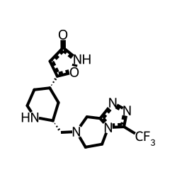 O=c1cc([C@H]2CCN[C@@H](CN3CCn4c(nnc4C(F)(F)F)C3)C2)o[nH]1